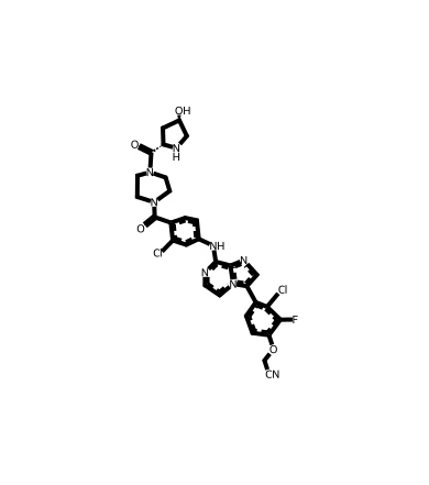 N#CCOc1ccc(-c2cnc3c(Nc4ccc(C(=O)N5CCN(C(=O)[C@@H]6C[C@@H](O)CN6)CC5)c(Cl)c4)nccn23)c(Cl)c1F